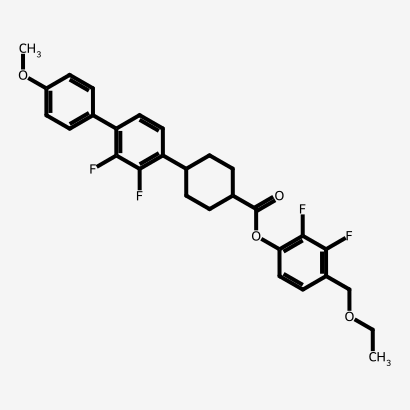 CCOCc1ccc(OC(=O)C2CCC(c3ccc(-c4ccc(OC)cc4)c(F)c3F)CC2)c(F)c1F